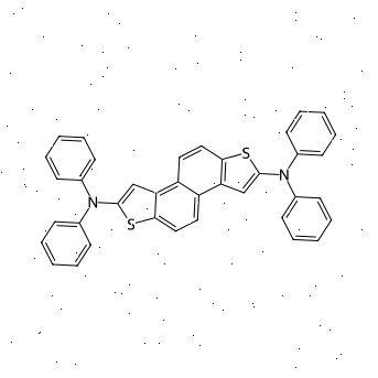 c1ccc(N(c2ccccc2)c2cc3c(ccc4c5cc(N(c6ccccc6)c6ccccc6)sc5ccc34)s2)cc1